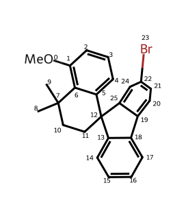 COc1cccc2c1C(C)(C)CCC21c2ccccc2-c2ccc(Br)cc21